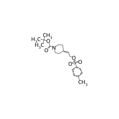 Cc1ccc(S(=O)(=O)OCC=C2CCN(C(=O)OC(C)(C)C)CC2)cc1